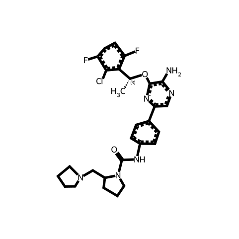 C[C@@H](Oc1nc(-c2ccc(NC(=O)N3CCCC3CN3CCCC3)cc2)cnc1N)c1c(F)ccc(F)c1Cl